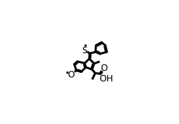 COc1ccc2c(c1)C(C(C)C(=O)O)=C(C)C2=C(SC)c1ccccc1